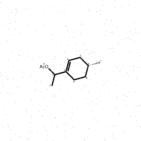 CC(=O)OC(C)C1=CC[C@H](C)CC1